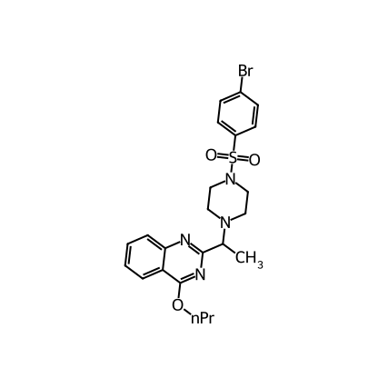 CCCOc1nc(C(C)N2CCN(S(=O)(=O)c3ccc(Br)cc3)CC2)nc2ccccc12